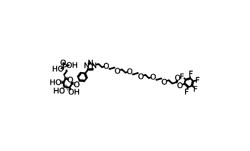 O=C(CCOCCOCCOCCOCCOCCOCCn1cc(-c2ccc(O[C@H]3O[C@H](CCP(=O)(O)O)[C@@H](O)[C@H](O)[C@@H]3O)cc2)nn1)Oc1c(F)c(F)c(F)c(F)c1F